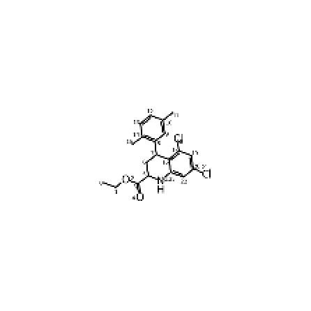 CCOC(=O)C1CC(c2cc(C)ccc2C)c2c(Cl)cc(Cl)cc2N1